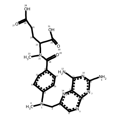 CN(Cc1cnc2nc(N)nc(N)c2n1)c1ccc(C(=O)N(C)C(CCC(=O)O)C(=O)O)cc1